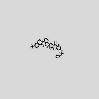 Cn1nc(-c2cccc(-n3ncc4cc(C(C)(C)C)ccc4c3=O)c2C=O)cc(Nc2ccc(OC(C)(C)CN3CCC3)cn2)c1=O